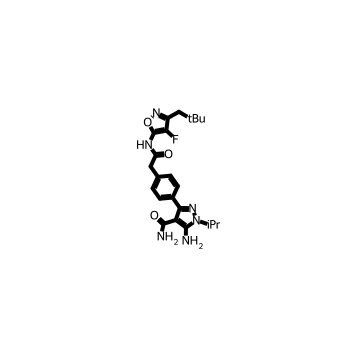 CC(C)n1nc(-c2ccc(CC(=O)Nc3onc(CC(C)(C)C)c3F)cc2)c(C(N)=O)c1N